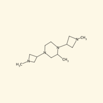 CC1CN(C2CN(C)C2)CCN1C1CN(C)C1